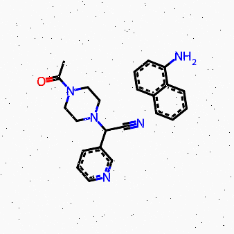 CC(=O)N1CCN(C(C#N)c2cccnc2)CC1.Nc1cccc2ccccc12